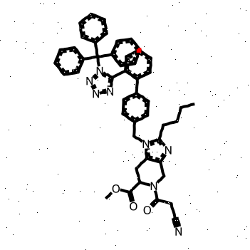 CCCCc1nc2c(n1Cc1ccc(-c3ccccc3-c3nnnn3C(c3ccccc3)(c3ccccc3)c3ccccc3)cc1)CC(C(=O)OC)N(C(=O)CC#N)C2